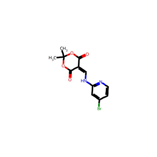 CC1(C)OC(=O)C(=CNc2cc(Br)ccn2)C(=O)O1